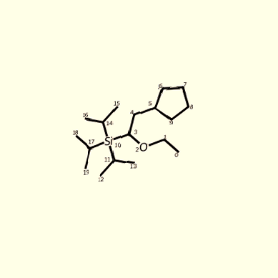 CCOC(CC1[CH]CCC1)[Si](C(C)C)(C(C)C)C(C)C